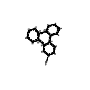 Fc1ccc2c3ccccc3c3ccccc3c2c1